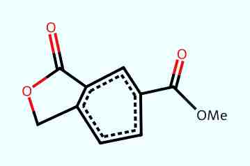 COC(=O)c1ccc2c(c1)C(=O)OC2